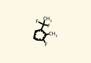 Cc1c(F)cccc1C(C)(F)F